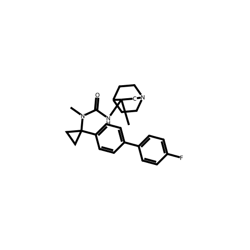 CN(C(=O)NC1(C)CN2CCC1CC2)C1(c2ccc(-c3ccc(F)cc3)cc2)CC1